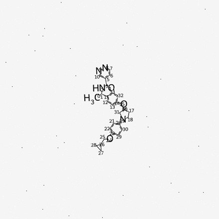 CC(NC(=O)c1ccnnc1)c1ccc(O[C@@H]2CCN(c3ccc(OCC4CC4)cc3)C2)cc1